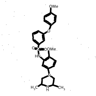 COc1ccc(Oc2cccc(S(=O)(=O)Nc3cc(N4CC(C)NC(C)C4)ccc3OC)c2)cc1